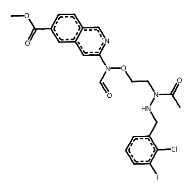 COC(=O)c1ccc2cnc(N(C=O)OCCN(NCc3cccc(F)c3Cl)C(C)=O)cc2c1